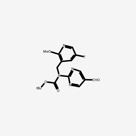 COc1ncc(F)cc1CN(C(=O)OC(C)(C)C)c1ncc(C=O)cn1